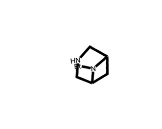 CCN1C2CNCC1C2